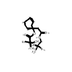 CCC(C)(C)C(=O)OC1(CC(=O)OCC(F)(F)C(F)(F)F)CCCC1